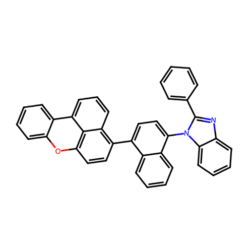 c1ccc(-c2nc3ccccc3n2-c2ccc(-c3ccc4c5c(cccc35)-c3ccccc3O4)c3ccccc23)cc1